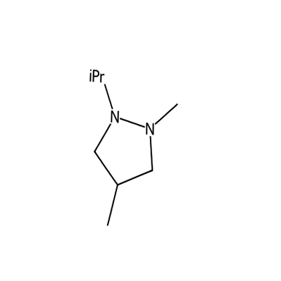 CC1CN(C)N(C(C)C)C1